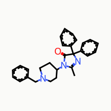 CC1=NC(c2ccccc2)(c2ccccc2)C(=O)N1C1CCN(Cc2ccccc2)CC1